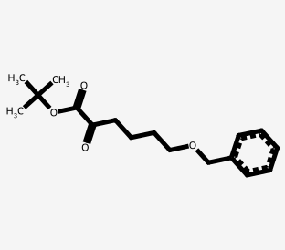 CC(C)(C)OC(=O)C(=O)CCCCOCc1ccccc1